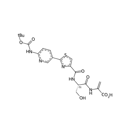 C=C(NC(=O)[C@H](CO)NC(=O)c1csc(-c2ccc(NC(=O)OC(C)(C)C)nc2)n1)C(=O)O